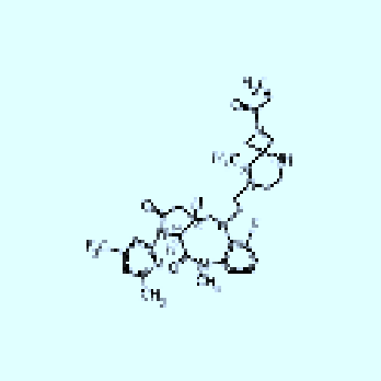 C=CC(=O)N1CC2(C1)NCCN(CCN1C[C@H]3CC(=O)N(c4cc(C(F)(F)F)cc(C)n4)[C@@H]3C(=O)N(C)c3cccc(F)c31)[C@@H]2C